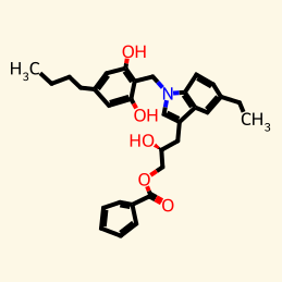 CCCCc1cc(O)c(Cn2cc(C[C@H](O)COC(=O)c3ccccc3)c3cc(CC)ccc32)c(O)c1